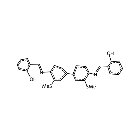 CSc1cc(-c2ccc(N=Cc3ccccc3O)c(SC)c2)ccc1N=Cc1ccccc1O